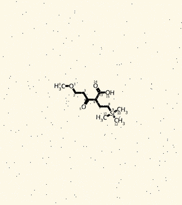 COCCC(=O)C(CC[Si](C)(C)C)C(=O)O